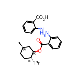 CC(C)[C@@H]1CC[C@@H](C)C[C@H]1OC(=O)c1ccccc1N.Nc1ccccc1C(=O)O